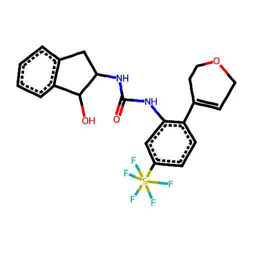 O=C(Nc1cc(S(F)(F)(F)(F)F)ccc1C1=CCOCC1)NC1Cc2ccccc2C1O